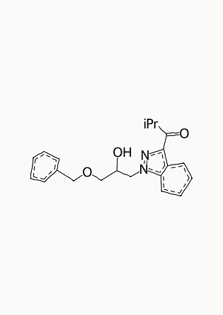 CC(C)C(=O)c1nn(CC(O)COCc2ccccc2)c2ccccc12